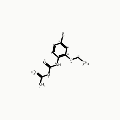 C=C(C)OC(=O)Nc1ccc(Br)cc1OCC